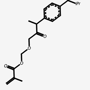 C=C(C)C(=O)OCOCC(=O)C(C)c1ccc(CC(C)C)cc1